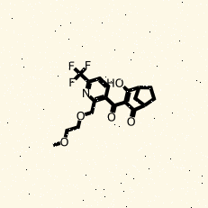 COCCOCc1nc(C(F)(F)F)ccc1C(=O)C1=C(O)C2CCC(C2)C1=O